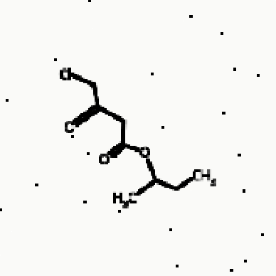 CCC(C)OC(=O)CC(=O)CCl